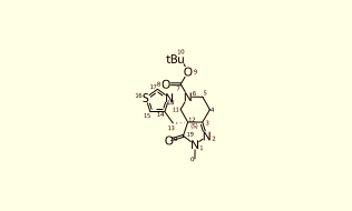 CN1N=C2CCN(C(=O)OC(C)(C)C)C[C@]2(Cc2cscn2)C1=O